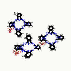 O=S(=O)([O-])c1cccc2c3nc4nc(nc5[nH]c(nc6nc(nc([nH]3)c12)-c1ccccc1-6)c1ccccc51)-c1ccccc1-4.O=S(=O)([O-])c1cccc2c3nc4nc(nc5[nH]c(nc6nc(nc([nH]3)c12)-c1ccccc1-6)c1ccccc51)-c1ccccc1-4.O=S(=O)([O-])c1cccc2c3nc4nc(nc5[nH]c(nc6nc(nc([nH]3)c12)-c1ccccc1-6)c1ccccc51)-c1ccccc1-4.[Rh+3]